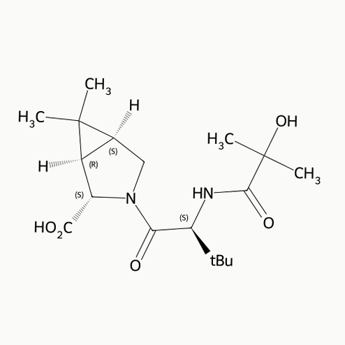 CC(C)(O)C(=O)N[C@H](C(=O)N1C[C@H]2[C@@H]([C@H]1C(=O)O)C2(C)C)C(C)(C)C